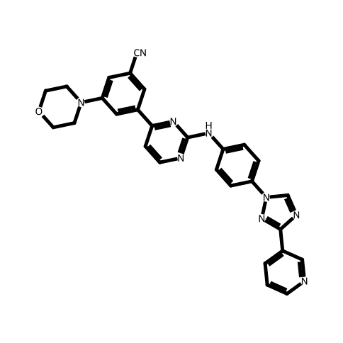 N#Cc1cc(-c2ccnc(Nc3ccc(-n4cnc(-c5cccnc5)n4)cc3)n2)cc(N2CCOCC2)c1